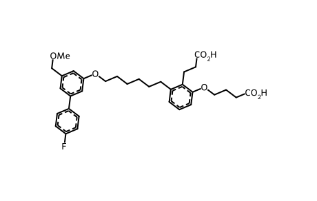 COCc1cc(OCCCCCCc2cccc(OCCCC(=O)O)c2CCC(=O)O)cc(-c2ccc(F)cc2)c1